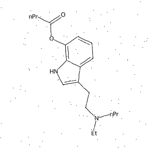 CCCC(=O)Oc1cccc2c(CCN(CC)CCC)c[nH]c12